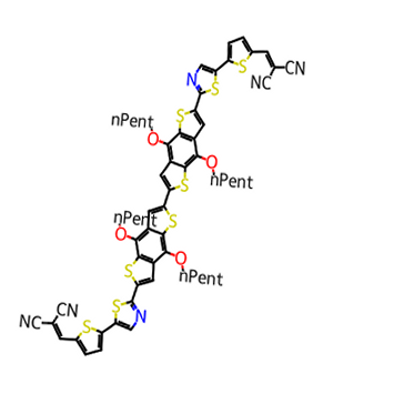 CCCCCOc1c2cc(-c3ncc(-c4ccc(C=C(C#N)C#N)s4)s3)sc2c(OCCCCC)c2cc(-c3cc4c(OCCCCC)c5sc(-c6ncc(-c7ccc(C=C(C#N)C#N)s7)s6)cc5c(OCCCCC)c4s3)sc12